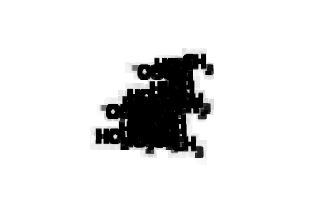 Cc1ccc(C(NCCNC(C(=O)O)c2ccc(C)cc2O)C(=O)[O-])c(O)c1.Cc1ccc(C(NCCNC(C(=O)O)c2ccc(C)cc2O)C(=O)[O-])c(O)c1.Cc1ccc(C(NCCNC(C(=O)O)c2ccc(C)cc2O)C(=O)[O-])c(O)c1.[Fe+3]